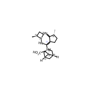 C[C@@H]1CC/C(=C(/NN2CC[C@@H]2C)N2C[C@H]3C[C@@H](C2)[C@@H]3CC(=O)O)C1=N